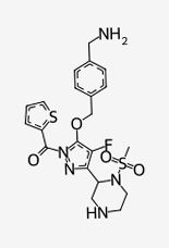 CS(=O)(=O)N1CCNCC1c1nn(C(=O)c2cccs2)c(OCc2ccc(CN)cc2)c1F